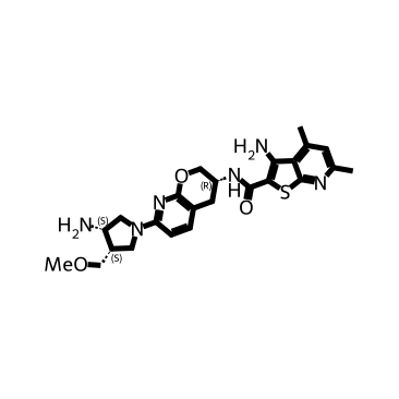 COC[C@H]1CN(c2ccc3c(n2)OC[C@H](NC(=O)c2sc4nc(C)cc(C)c4c2N)C3)C[C@H]1N